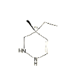 CC[C@]1(C)C=CNNC1